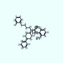 Cc1ccccc1CCCCN(C(=O)Nc1c(C(C)C)cccc1C(C)C)C1CCC(c2ccccc2)CC1